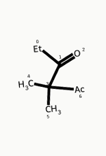 CCC(=O)C(C)(C)C(C)=O